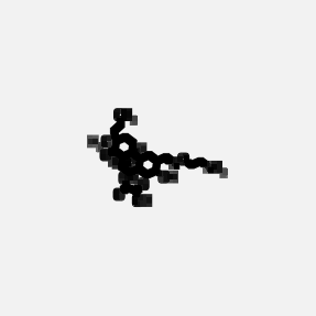 CCC[C@@]1(C)CC[C@H]2[C@@H](CCC3C[C@@H](O)C(/C=N/OCCN)C[C@@]32C)C1=O.O=C(O)C(=O)O